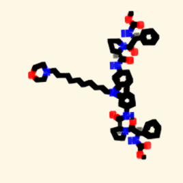 COC(=O)N[C@@H](C(=O)N1CCC[C@H]1C(=O)Nc1ccc2c3ccc(NC(=O)[C@@H]4CCCN4C(=O)[C@H](NC(=O)OC)c4ccccc4)cc3n(CCCCCCCCCCN3CCOCC3)c2c1)c1ccccc1